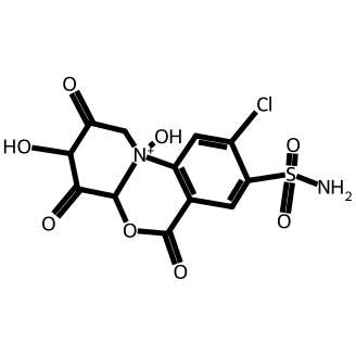 NS(=O)(=O)c1cc2c(cc1Cl)[N+]1(O)CC(=O)C(O)C(=O)C1OC2=O